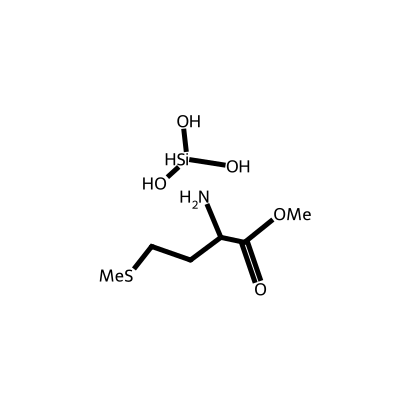 COC(=O)C(N)CCSC.O[SiH](O)O